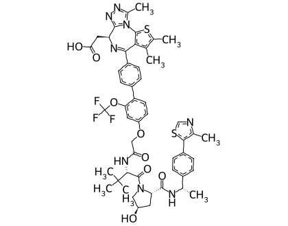 Cc1ncsc1-c1ccc([C@H](C)NC(=O)[C@@H]2C[C@@H](O)CN2C(=O)[C@@H](NC(=O)COc2ccc(-c3ccc(C4=N[C@@H](CC(=O)O)c5nnc(C)n5-c5sc(C)c(C)c54)cc3)c(OC(F)(F)F)c2)C(C)(C)C)cc1